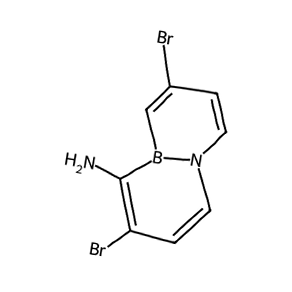 NC1=C(Br)C=CN2C=CC(Br)=CB12